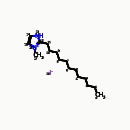 CCCCCCCCCCCCc1[nH]cc[n+]1C.[I-]